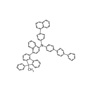 CC1(c2ccccc2)c2ccccc2-c2c(-c3ccc(N(c4ccc(-c5ccc(-c6ccccc6)cc5)cc4)c4ccc(-c5cccc6ccccc56)cc4)c4ccccc34)cccc21